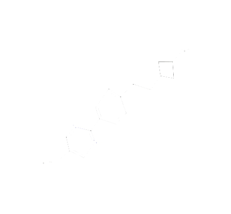 CCCCCCCc1cnc(-c2ccc(CCC3CC(CCC)C3)cc2)nc1